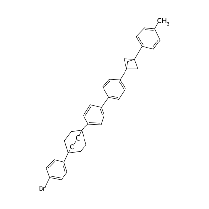 Cc1ccc(C23CC(c4ccc(-c5ccc(C67CCC(c8ccc(Br)cc8)(CC6)CC7)cc5)cc4)(C2)C3)cc1